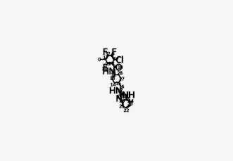 Cc1c(F)c(F)c(Cl)c(C(=O)NC2CCC(CNc3nc4ccccc4[nH]3)CC2)c1F